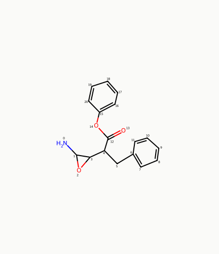 NC1OC1C(Cc1ccccc1)C(=O)Oc1ccccc1